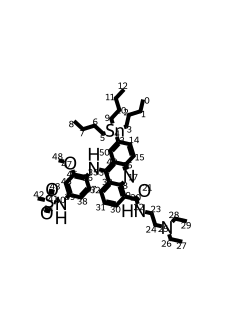 CCC[CH2][Sn]([CH2]CCC)([CH2]CCC)[c]1ccc2nc3c(C(=O)NCCN(CC)CC)cccc3c(Nc3ccc(NS(C)(=O)=O)cc3OC)c2c1